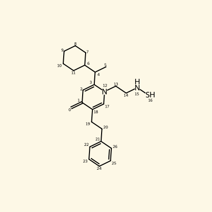 C=C1C=C(C(C)C2CCCCC2)N(CCNS)C=C1CCc1ccccc1